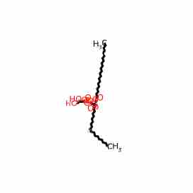 CCCCCCCCC/C=C\CCCCCCCC(=O)O[C@H](COC(=O)CCCCCCCCCCCCCCCCCCCCC)COP(=O)(O)OC[C@@H](O)CO